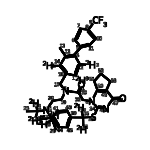 [2H]c1c([2H])c(-c2ccc(C(F)(F)F)cc2)c(C)c([2H])c1CN(CCN(C([2H])([2H])C)C([2H])([2H])C)C(=O)Cn1c(SC([2H])([2H])c2ccc(F)cc2)nc(=O)c2c1CCC2